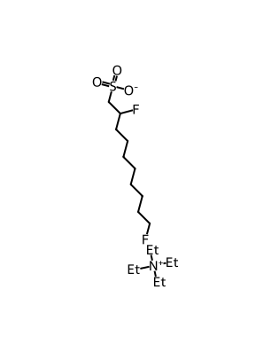 CC[N+](CC)(CC)CC.O=S(=O)([O-])CC(F)CCCCCCCCF